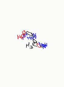 Cc1cc(Nc2ncnc3ccc(NC(=O)O)cc23)ccc1Oc1cc2nncn2cn1